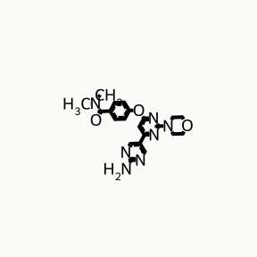 CN(C)C(=O)c1ccc(Oc2cc(-c3cnc(N)nc3)nc(N3CCOCC3)n2)cc1